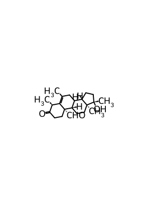 CC1=C2[C@H](C)C(=O)CC[C@]2(C=O)[C@H]2CC[C@@]3(C)[C@@H](CC[C@]3(C)O)[C@@H]2C1